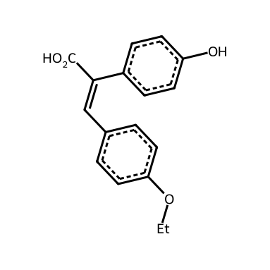 CCOc1ccc(/C=C(/C(=O)O)c2ccc(O)cc2)cc1